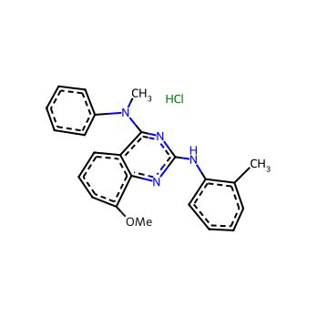 COc1cccc2c(N(C)c3ccccc3)nc(Nc3ccccc3C)nc12.Cl